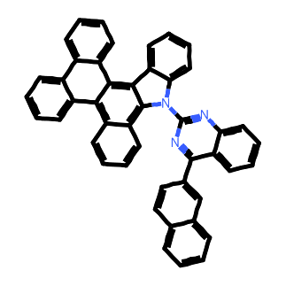 c1ccc2cc(-c3nc(-n4c5ccccc5c5c6c7ccccc7c7ccccc7c6c6ccccc6c54)nc4ccccc34)ccc2c1